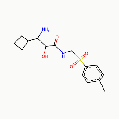 Cc1ccc(S(=O)(=O)CNC(=O)C(O)C(N)C2CCC2)cc1